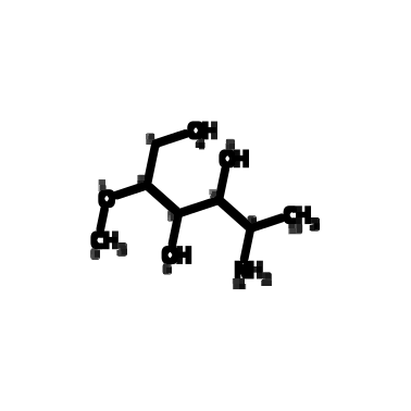 COC(CO)C(O)C(O)C(C)N